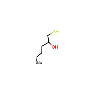 CC(C)(C)CCCC(O)CS